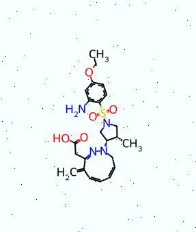 C=C1/C=C\C=C/CN([C@H]2CN(S(=O)(=O)c3ccc(OCC)cc3N)C[C@H]2C)/N=C\1CC(=O)O